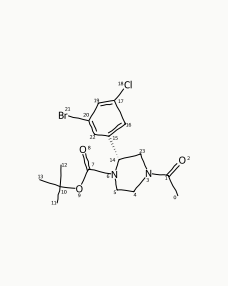 CC(=O)N1CCN(C(=O)OC(C)(C)C)[C@H](c2cc(Cl)cc(Br)c2)C1